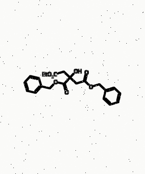 CCOC(=O)CC(O)(CC(=O)OCc1ccccc1)C(=O)OCc1ccccc1